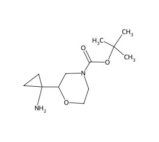 CC(C)(C)OC(=O)N1CCOC(C2(N)CC2)C1